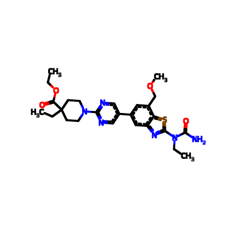 CCOC(=O)C1(CC)CCN(c2ncc(-c3cc(COC)c4sc(N(CC)C(N)=O)nc4c3)cn2)CC1